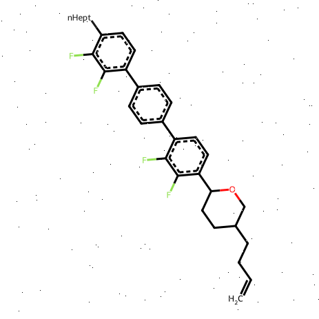 C=CCCC1CCC(c2ccc(-c3ccc(-c4ccc(CCCCCCC)c(F)c4F)cc3)c(F)c2F)OC1